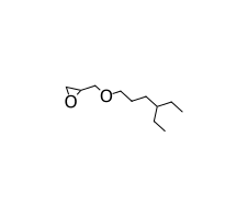 CCC(CC)CCCOCC1CO1